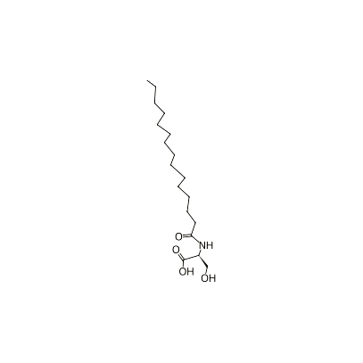 CCCCCCCCCCCCCCC(=O)N[C@@H](CO)C(=O)O